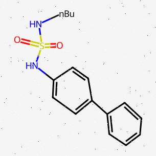 CCCCNS(=O)(=O)Nc1ccc(-c2ccccc2)cc1